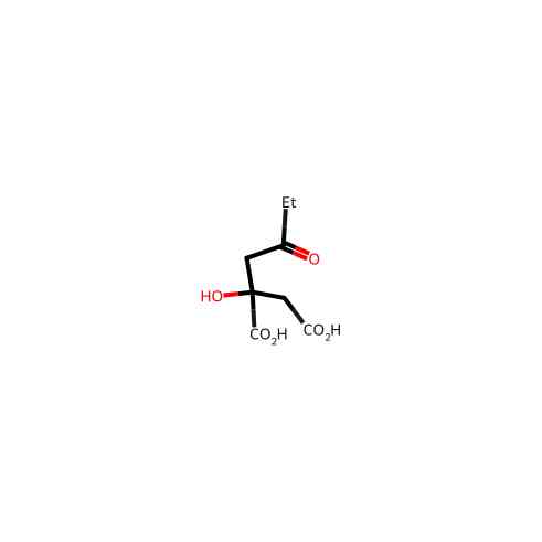 CCC(=O)CC(O)(CC(=O)O)C(=O)O